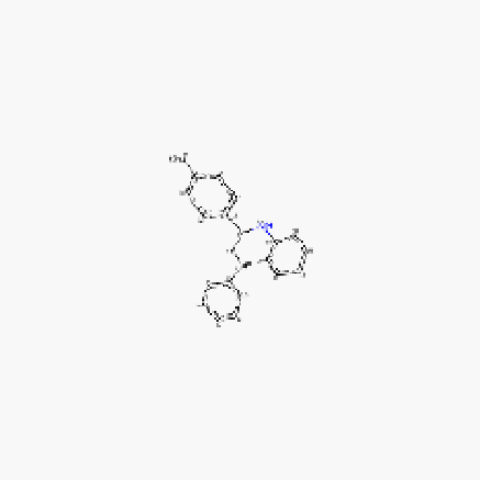 CC(C)(C)c1ccc(C(C[Se]c2ccccc2)Nc2ccccc2)cc1